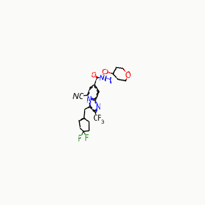 N#Cc1cc(C(=O)NOC2CCOCC2)cc2nc(C(F)(F)F)c(CC3CCC(F)(F)CC3)n12